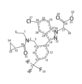 CCN(Cc1cc(C(F)(F)F)ccc1-c1nn(C(C)C(=O)OC)c2ccc(Cl)cc12)C(=O)C1CC1